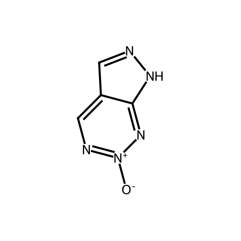 [O-][n+]1ncc2cn[nH]c2n1